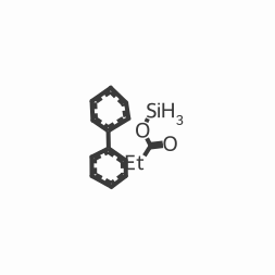 CCC(=O)O[SiH3].c1ccc(-c2ccccc2)cc1